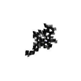 C=C(Nc1ccc(C(F)(F)F)cc1-c1cnc(SC)nc1)/C(C)=C(\C#N)C(C)(CCCC)CCc1cccc(F)c1F